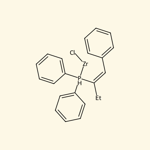 CCC(=Cc1ccccc1)[PH]([Zr][Cl])(c1ccccc1)c1ccccc1